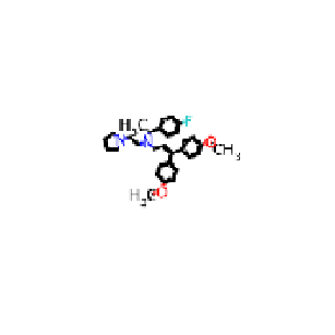 COc1ccc(C(=CCN(CCN2CCCC2)[C@H](C)c2ccc(F)cc2)c2ccc(OC)cc2)cc1